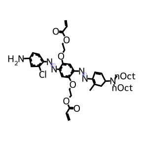 C=CC(=O)OCCOc1cc(/N=N/c2ccc(N)cc2Cl)c(OCCOC(=O)C=C)cc1/N=N/C1=C(C)CC(N(CCCCCCCC)CCCCCCCC)C=C1